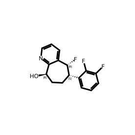 O[C@@H]1CC[C@@H](c2cccc(F)c2F)[C@@H](F)c2cccnc21